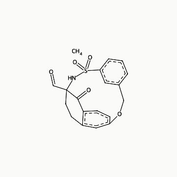 C.O=CC12CCc3cc(ccc3C1=O)OCc1cccc(c1)S(=O)(=O)N2